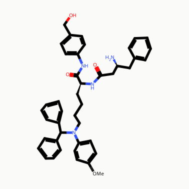 COc1ccc(N(CCCC[C@H](NC(=O)C[C@@H](N)Cc2ccccc2)C(=O)Nc2ccc(CO)cc2)C(c2ccccc2)c2ccccc2)cc1